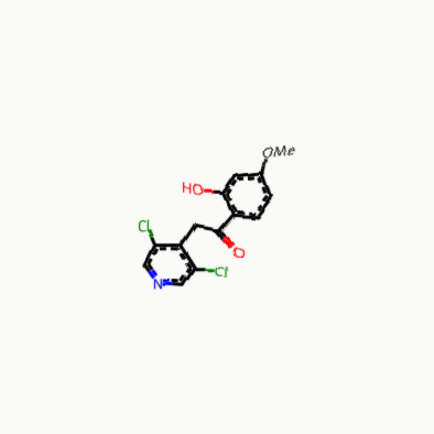 COc1ccc(C(=O)Cc2c(Cl)cncc2Cl)c(O)c1